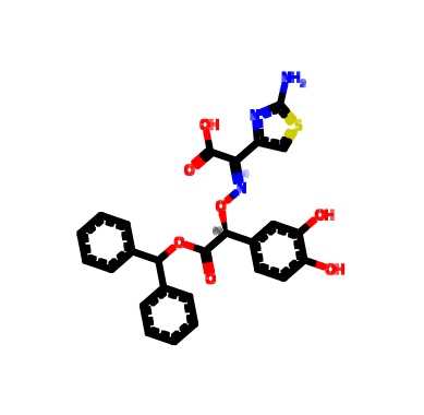 Nc1nc(/C(=N/O[C@H](C(=O)OC(c2ccccc2)c2ccccc2)c2ccc(O)c(O)c2)C(=O)O)cs1